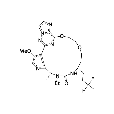 CCN1C(=O)N[C@@H](CCC(C)(F)F)CCOCCOc2nc(nn3ccnc23)-c2cc(ncc2OC)[C@H]1C